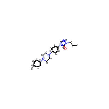 CCCn1ncn(-c2ccc(N3CCN(c4ccc(C)cc4)CC3)cc2)c1=O